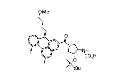 COCCC/C=C(/c1cccc(C(=O)N2C[C@@H](NC(=O)O)[C@H](O[Si](C)(C)C(C)(C)C)C2)c1)c1cccc(F)c1-c1cccc(C)c1